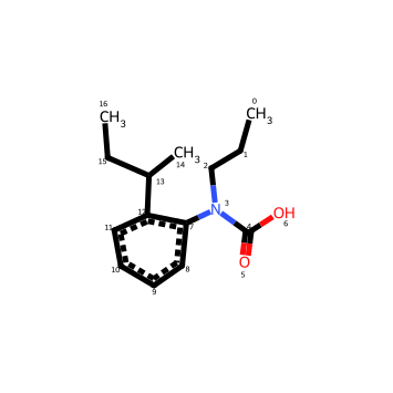 CCCN(C(=O)O)c1ccccc1C(C)CC